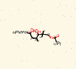 CCCCCC(O)CC(C)C(O)C(C)(C)COC(=O)C(C)C